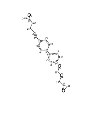 C(#Cc1ccc(-c2ccc(OCOCC3CO3)cc2)cc1)CCC1CO1